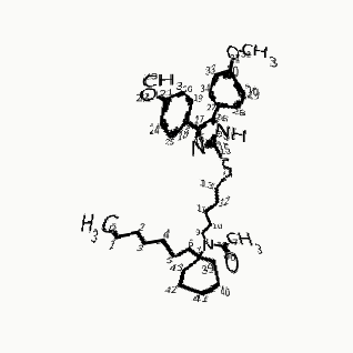 CCCCCCCC1(N(CCCCCSc2nc(-c3ccc(OC)cc3)c(-c3ccc(OC)cc3)[nH]2)C(C)=O)CCCCC1